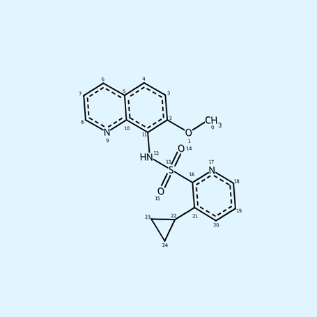 COc1ccc2cccnc2c1NS(=O)(=O)c1ncccc1C1CC1